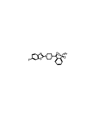 CCCS(=O)(=O)c1ccccc1C(=O)N1CCN(c2nc3ccc(F)cc3s2)CC1